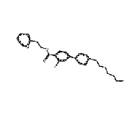 CCCCCCCc1ccc(-c2ccc(C(=O)OCCc3ccccn3)c(F)c2)cc1